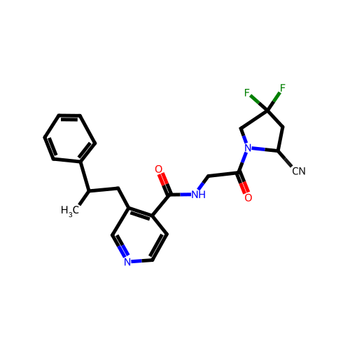 CC(Cc1cnccc1C(=O)NCC(=O)N1CC(F)(F)CC1C#N)c1ccccc1